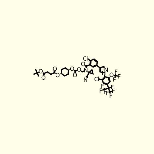 CC(C)(C)OC(=O)CCC(=O)O[C@H]1CC[C@@H](OC(=O)OCN(C(=O)c2cc(-c3cnn(-c4c(Cl)cc(C(F)(C(F)(F)F)C(F)(F)F)cc4OC(F)(F)F)c3)ccc2Cl)C2(C#N)CC2)CC1